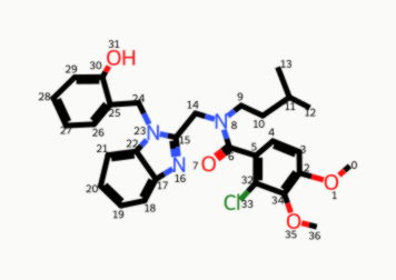 COc1ccc(C(=O)N(CCC(C)C)Cc2nc3ccccc3n2Cc2ccccc2O)c(Cl)c1OC